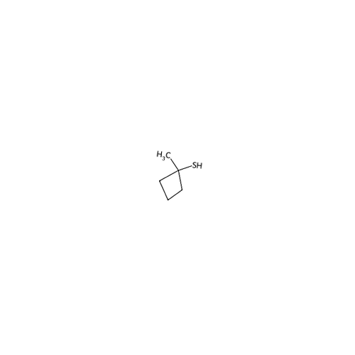 CC1(S)CCC1